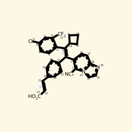 N#Cc1c(/C(=C(/c2ccc(Cl)cc2C(F)(F)F)C2CCC2)c2ccc(/C=C/C(=O)O)cc2)ccc2nccn12